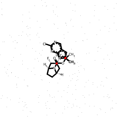 Cc1cc2cnc(Cl)nc2n1[C@@H]1C[C@H]2CC[C@@H]([C@@H]1F)N2C(=O)OC(C)(C)C